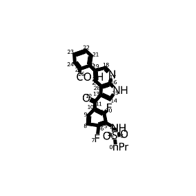 CCCS(=O)(=O)Nc1c(F)ccc(C(=O)c2c[nH]c3ncc(-c4ccccc4C(=O)O)cc23)c1F